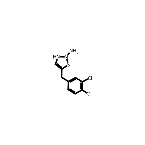 NN1NC=C(Cc2ccc(Cl)c(Cl)c2)S1